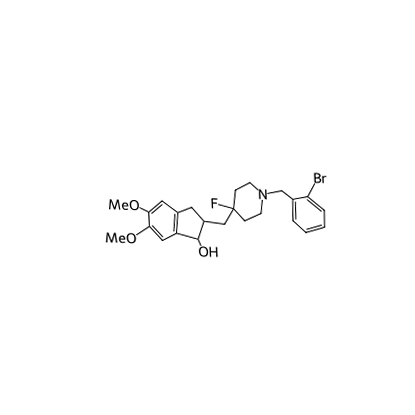 COc1cc2c(cc1OC)C(O)C(CC1(F)CCN(Cc3ccccc3Br)CC1)C2